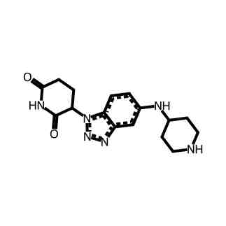 O=C1CCC(n2nnc3cc(NC4CCNCC4)ccc32)C(=O)N1